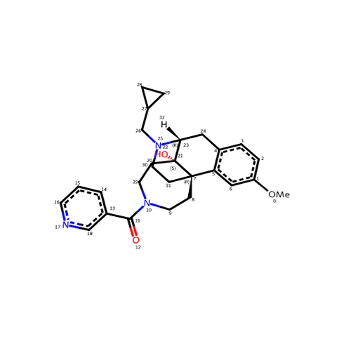 COc1ccc2c(c1)[C@@]13CCN(C(=O)c4cccnc4)CC[C@@]1(O)[C@@H](C2)N(CC1CC1)CC3